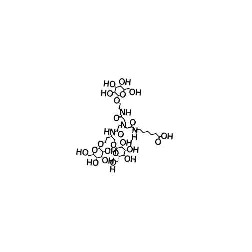 O=C(O)CCCCCNC(=O)CN(CC(=O)NCCO[C@H]1O[C@H](CO)[C@@H](O)[C@H](O)[C@@H]1O)CC(=O)N[C@H](CCO[C@H]1O[C@H](CO)[C@@H](O)[C@H](O)[C@@H]1O)CO[C@@H]1O[C@@H](CO)[C@H](O)[C@@H](O)[C@H]1O